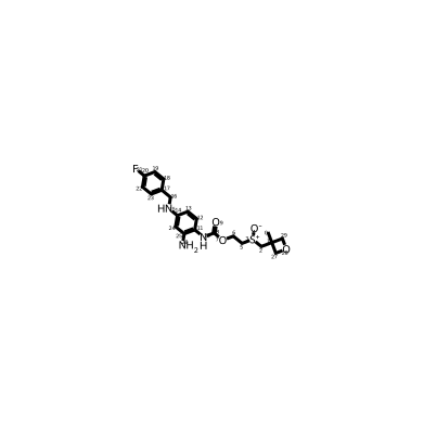 CC1(C[S+]([O-])CCOC(=O)Nc2ccc(NCc3ccc(F)cc3)cc2N)COC1